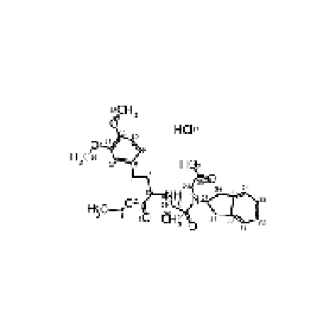 CCOC(=O)C(CCc1ccc(OC)c(OC)c1)N[C@@H](C)C(=O)N(CC(=O)O)C1Cc2ccccc2C1.Cl